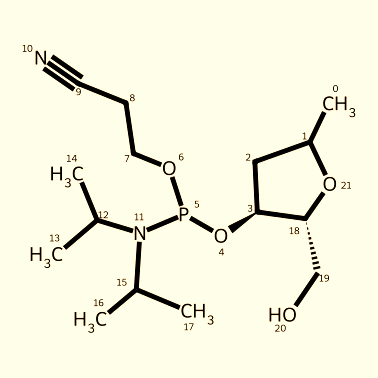 CC1C[C@H](OP(OCCC#N)N(C(C)C)C(C)C)[C@@H](CO)O1